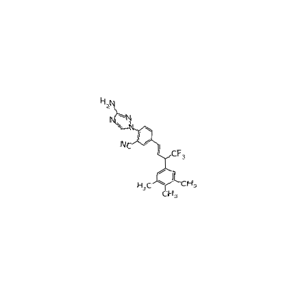 Cc1cc(C(/C=C/c2ccc(-n3cnc(N)n3)c(C#N)c2)C(F)(F)F)cc(C)c1C